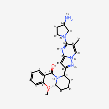 COc1ccccc1C(=O)N1CCCCC1c1cc2nc(N3CCC(N)C3)c(C)cn2n1